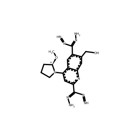 CO[C@@H]1CCCN1c1cc(C(N=N)=NN)nc2cc(CO)c(C(N=N)=NN)cc12